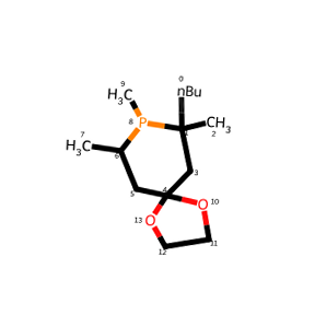 CCCCC1(C)CC2(CC(C)P1C)OCCO2